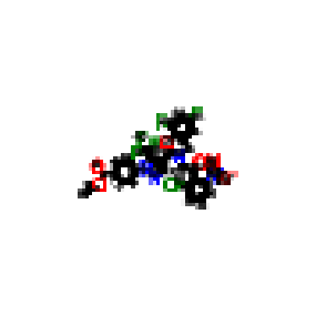 CCOC(=O)[C@H]1CC[C@H](n2ncc(C(=O)N(Cc3cc(F)cc(F)c3)CC(O)c3c(Cl)cccc3[N+](=O)[O-])c2C(F)(F)F)CC1